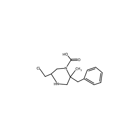 CC1(Cc2ccccc2)CNC(CCl)CN1C(=O)O